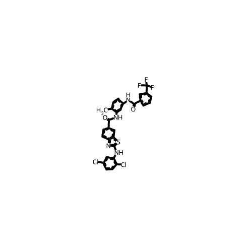 Cc1ccc(NC(=O)c2cccc(C(F)(F)F)c2)cc1NC(=O)c1ccc2nc(Nc3cc(Cl)ccc3Cl)sc2c1